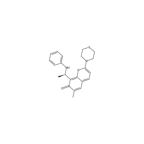 Cc1cc2ccc(N3CCSCC3)oc-2c([C@@H](C)Nc2ccccc2)c1=O